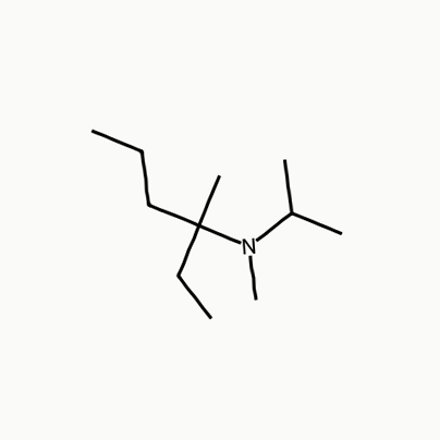 CCCC(C)(CC)N(C)C(C)C